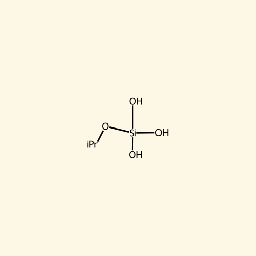 CC(C)O[Si](O)(O)O